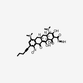 CCCC#Cc1cc(N(C)C)c2c(c1N=O)C(=O)C1=C(O)[C@]3(O)C(=O)C(C(=O)N=N)=C(O)[C@@H](N(C)C)[C@@H]3C[C@@H]1C2